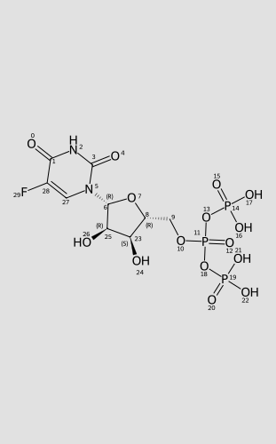 O=c1[nH]c(=O)n([C@@H]2O[C@H](COP(=O)(OP(=O)(O)O)OP(=O)(O)O)[C@@H](O)[C@H]2O)cc1F